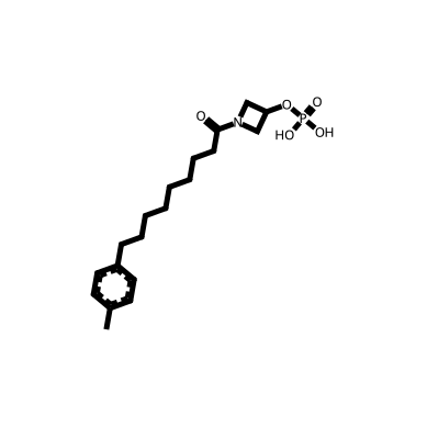 Cc1ccc(CCCCCCCCC(=O)N2CC(OP(=O)(O)O)C2)cc1